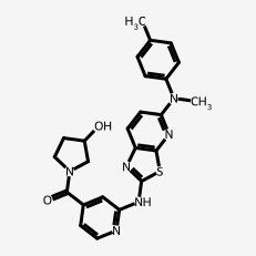 Cc1ccc(N(C)c2ccc3nc(Nc4cc(C(=O)N5CCC(O)C5)ccn4)sc3n2)cc1